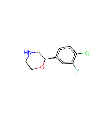 Fc1cc([C@@H]2CNCCO2)ccc1Cl